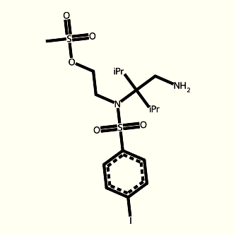 CC(C)C(CN)(C(C)C)N(CCOS(C)(=O)=O)S(=O)(=O)c1ccc(I)cc1